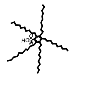 CCCCCCCCCCc1c(CCCCCCCCCC)c(CCCCCCCCCC)c(S(=O)(=O)O)c(CCCCCCCCCC)c1CCCCCCCCCC